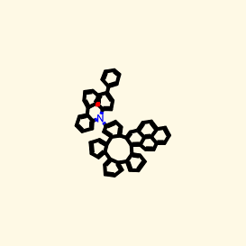 c1ccc(-c2ccc(N(c3ccc4c(c3)c3ccccc3c3ccccc3c3ccccc3c3c4cc4ccc5cccc6ccc3c4c56)c3ccccc3-c3ccccc3)cc2)cc1